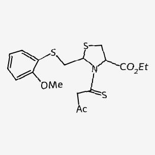 CCOC(=O)C1CSC(CSc2ccccc2OC)N1C(=S)CC(C)=O